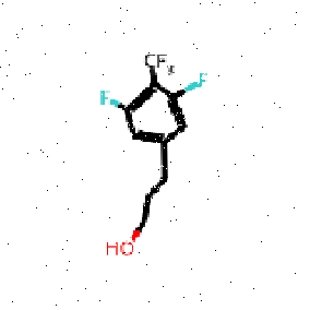 OCCCc1cc(F)c(C(F)(F)F)c(F)c1